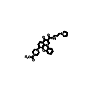 CC(=O)N1CCN(c2ccc3c(=O)c(C(=O)NCCCN4CCCC4)cn4c3c2Oc2ccccc2-4)CC1